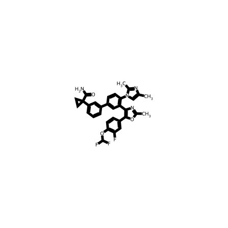 Cc1cn(-c2ccc(-c3cccc(C4(C(N)=O)CC4)c3)cc2-c2nc(C)oc2-c2ccc(OC(F)F)c(F)c2)c(C)n1